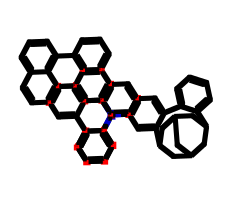 C1=CC(c2ccccc2-c2ccccc2-c2ccccc2N(c2cccc(-c3cccc4cccc(-c5ccccc5)c34)c2)c2ccc3c(c2)C2CC4CC(CC(C4)c4ccccc4-3)C2)=CCC1